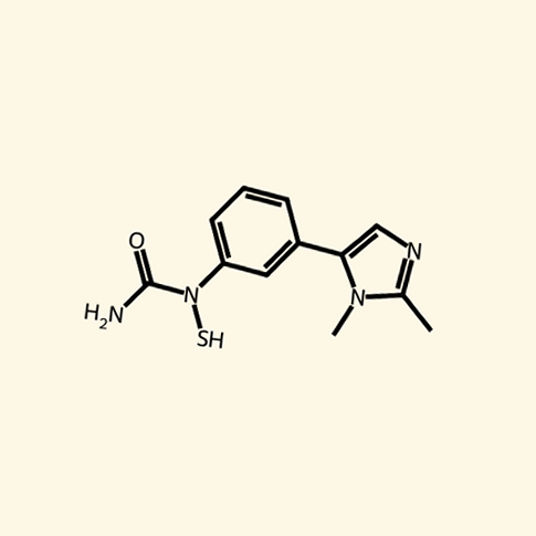 Cc1ncc(-c2cccc(N(S)C(N)=O)c2)n1C